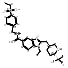 CCn1c(C[C@@H]2CC[C@@H](C(F)(F)F)OC2)nc2cc(C(=O)NCc3ccc(S(=O)(=O)CC)cc3)ccc21